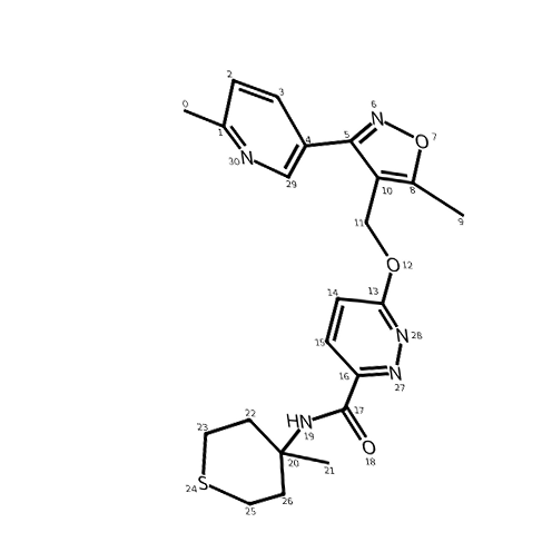 Cc1ccc(-c2noc(C)c2COc2ccc(C(=O)NC3(C)CCSCC3)nn2)cn1